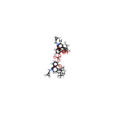 CC(C)(C)[C@H]1CC23CCC1(C)[C@@H]1Oc4c(OC(=O)Oc5ccc6c7c5O[C@H]5[C@@]8(C)CC[C@@]9(C[C@@H]8[C@](C)(O)C(C)(C)C)[C@@H](C6)N(CC6CC6)CC[C@]759)ccc5c4[C@@]12CCN(CC1CC1)C3C5